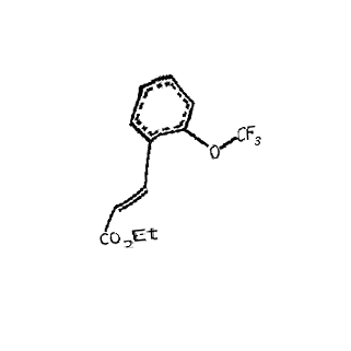 CCOC(=O)C=Cc1ccccc1OC(F)(F)F